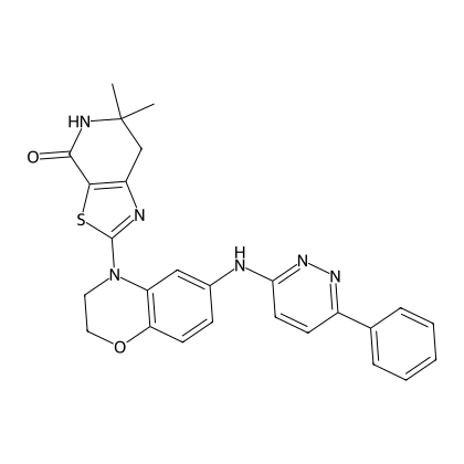 CC1(C)Cc2nc(N3CCOc4ccc(Nc5ccc(-c6ccccc6)nn5)cc43)sc2C(=O)N1